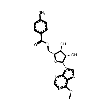 COc1ncnc2c1ncn2[C@@H]1O[C@H](COC(=O)c2ccc(N)cc2)[C@@H](O)[C@@H]1O